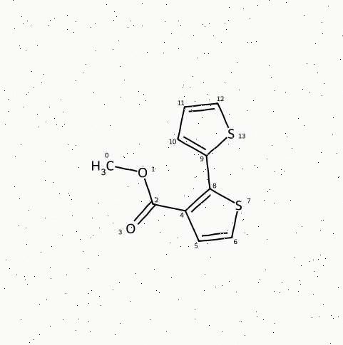 COC(=O)c1ccsc1-c1cccs1